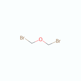 BrCOCBr